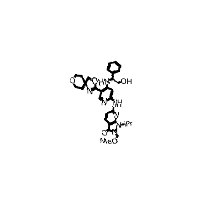 COCn1c(=O)c2ccc(Nc3cc(N[C@H](CO)c4ccccc4)c(C4=NC5(CCOCC5)CO4)cn3)nc2n1C(C)C